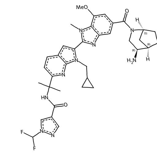 COc1cc(C(=O)N2C[C@H](N)[C@@H]3CC[C@H]2C3)cc2nc(-c3cc4ccc(C(C)(C)NC(=O)c5cnn(C(F)F)c5)nc4n3CC3CC3)n(C)c12